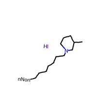 CCCCCCCCCCCCCCCCN1CCCC(C)C1.I